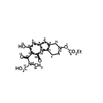 CCOC(=O)ON1CCc2c(sc3nc(O)c(C(=O)N(C)C(=O)O)c(=O)n23)C1